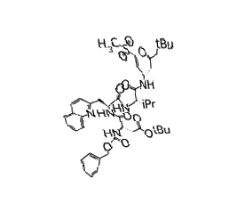 CC(C)[C@H](NC(=O)[C@H](Cc1ccc2ccccc2n1)NC(=O)[C@H](CC(=O)OC(C)(C)C)NC(=O)OCc1ccccc1)C(=O)N[C@H](/C=C/S(C)(=O)=O)CC(=O)CC(C)(C)C